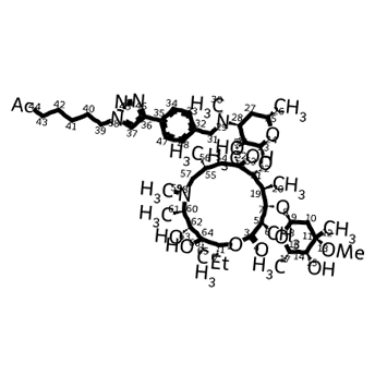 CC[C@H]1OC(=O)[C@H](C)[C@@H](O[C@H]2C[C@@](C)(OC)[C@@H](O)[C@H](C)O2)[C@H](C)[C@@H](O[C@@H]2O[C@H](C)C[C@H](N(C)Cc3ccc(-c4cn(CCCCCC(C)=O)nn4)cc3)[C@H]2O)[C@](C)(O)C[C@@H](C)CN(C)[C@H](C)[C@@H](O)[C@]1(C)O